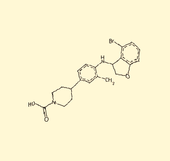 Cc1cc(C2CCN(C(=O)O)CC2)ccc1NC1COc2cccc(Br)c21